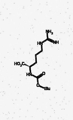 CC(C)(C)OC(=O)N[C@@H](CCCNC(=N)N)C(=O)O